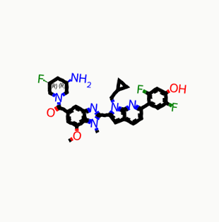 COc1cc(C(=O)N2C[C@H](N)C[C@@H](F)C2)cc2nc(-c3cc4ccc(-c5cc(F)c(O)cc5F)nc4n3CC3CC3)n(C)c12